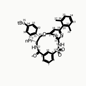 CCC[C@H]1NC(=O)c2cccc(c2)S(=O)(=O)Nc2nc(cc(-c3c(C)cccc3C)n2)O[C@H]1c1ccc(C(C)(C)C)cc1